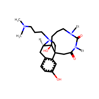 CCN1CCC[C@@]2(O)[C@H]3Cc4ccc(O)cc4[C@@]2(CCN3CCCN(C)C)CC(=O)N(CC)C1=O